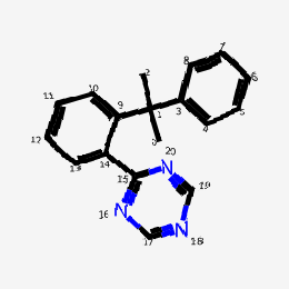 CC(C)(c1ccccc1)c1ccccc1-c1ncncn1